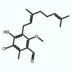 COc1c(C=O)c(C)c(Cl)c(O)c1C/C=C(\C)CCC=C(C)C